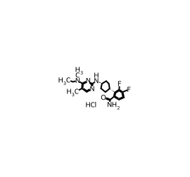 CCN(C)c1nc(N[C@H]2CC[C@@H](c3c(C(N)=O)ccc(F)c3F)CC2)ncc1C.Cl